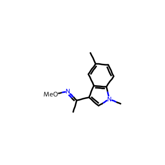 CON=C(C)c1cn(C)c2ccc(C)cc12